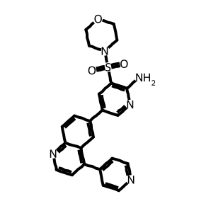 Nc1ncc(-c2ccc3nccc(-c4ccncc4)c3c2)cc1S(=O)(=O)N1CCOCC1